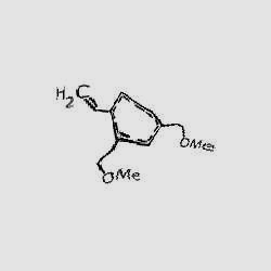 C=Cc1ccc(COC)cc1COC